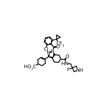 O=C(O)C1CC=C(c2nn(C(=O)c3c(Cl)cccc3C3(C(F)(F)F)CC3)c3c2CCC(C(=O)NCC2(F)CNC2)C3)CC1